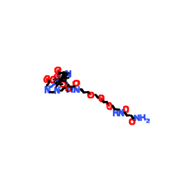 NC(=O)CCC(=O)NCCCOCCOCCOCCCNC(=O)CN1CCN2CCN3CCN4CC(=O)OC(C1)(C4)N(OC(=O)C2)OC(=O)C3